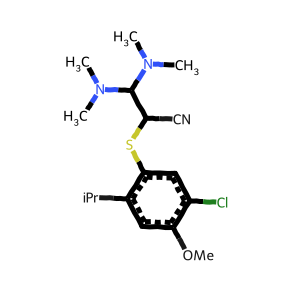 COc1cc(C(C)C)c(SC(C#N)C(N(C)C)N(C)C)cc1Cl